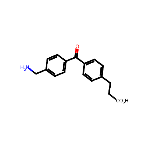 NCc1ccc(C(=O)c2ccc(CCC(=O)O)cc2)cc1